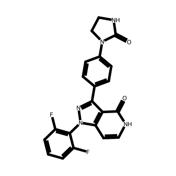 O=C1NCCN1c1ccc(-c2nn(-c3c(F)cccc3F)c3cc[nH]c(=O)c23)cc1